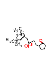 C=C=C(CC(O)CCC1CCCC1=O)C[Si](C)(C)C